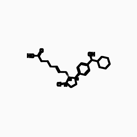 O=C(O)CCCC=CC[C@H]1[C@H](Cl)CC[C@@H]1c1ccc(C(O)C2CCCCC2)cc1